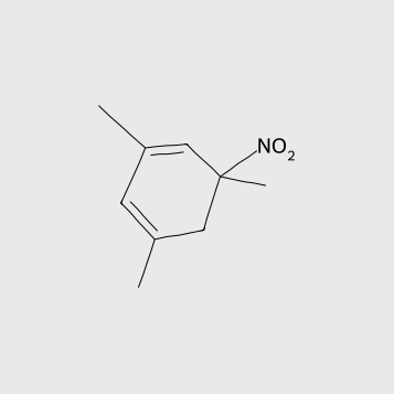 CC1=CC(C)([N+](=O)[O-])CC(C)=C1